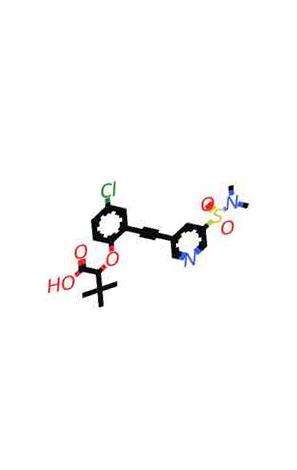 CN(C)S(=O)(=O)c1cncc(C#Cc2cc(Cl)ccc2OC(C(=O)O)C(C)(C)C)c1